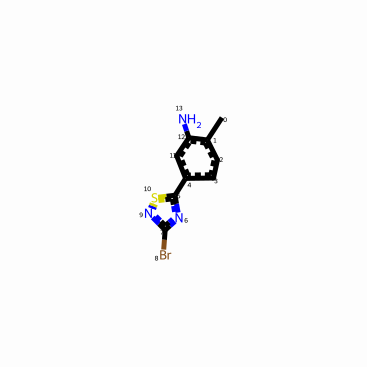 Cc1ccc(-c2nc(Br)ns2)cc1N